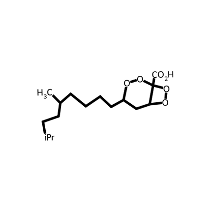 CC(C)CCC(C)CCCCC1CC2OOC2(C(=O)O)OO1